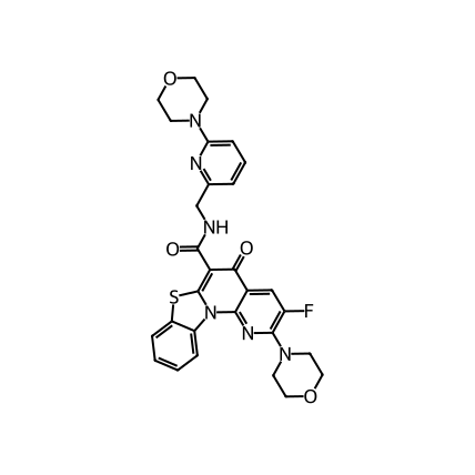 O=C(NCc1cccc(N2CCOCC2)n1)c1c(=O)c2cc(F)c(N3CCOCC3)nc2n2c1sc1ccccc12